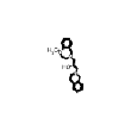 CN1CCN(C[C@H](O)CN2CCc3ccccc3C2)Cc2ccccc21